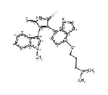 CN(C)CCCOc1ccc(C2=C(c3cn(C)c4ccccc34)C(=O)NC2=O)c2occc12